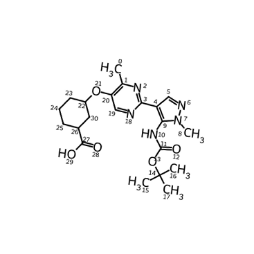 Cc1nc(-c2cnn(C)c2NC(=O)OC(C)(C)C)ncc1OC1CCCC(C(=O)O)C1